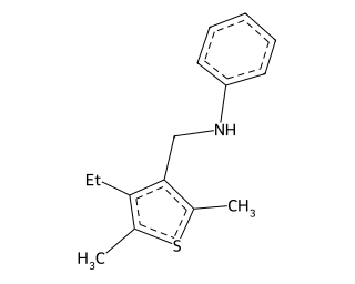 CCc1c(C)sc(C)c1CNc1ccccc1